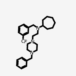 FC(F)(F)c1cccc(CN(CCN2CCN(Cc3ccccc3)CC2)C2CCCCCC2)c1